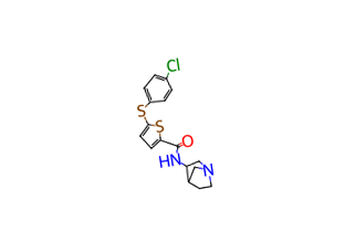 O=C(NC1CN2CCC1C2)c1ccc(Sc2ccc(Cl)cc2)s1